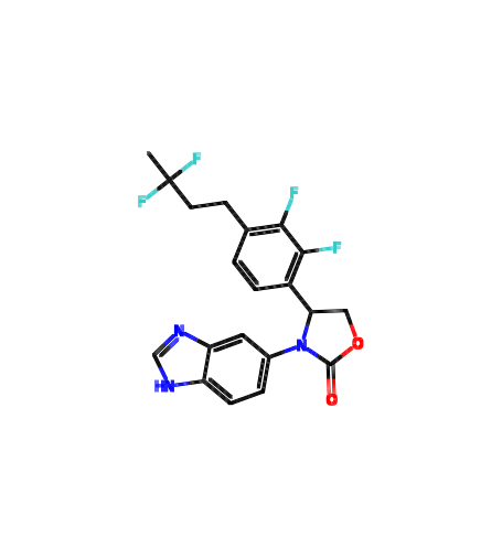 CC(F)(F)CCc1ccc(C2COC(=O)N2c2ccc3[nH]cnc3c2)c(F)c1F